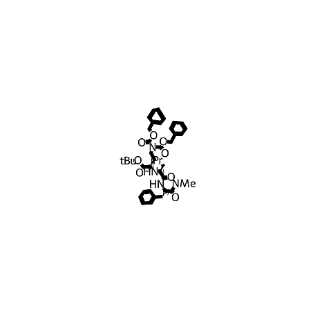 CNC(=O)[C@H](Cc1ccccc1)NC(=O)[C@H](CC(C)C)N[C@H](CCN(C(=O)OCc1ccccc1)C(=O)OCc1ccccc1)C(=O)OC(C)(C)C